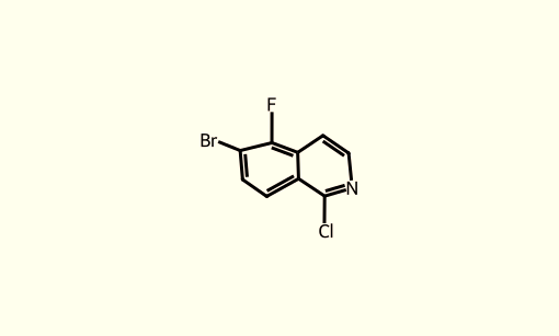 Fc1c(Br)ccc2c(Cl)nccc12